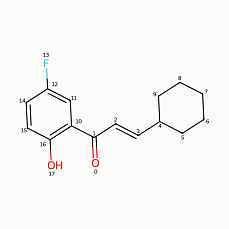 O=C(C=CC1CCCCC1)c1cc(F)ccc1O